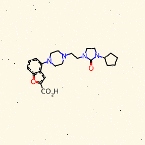 O=C(O)c1cc2c(N3CCN(CCN4CCN(C5CCCC5)C4=O)CC3)cccc2o1